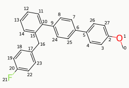 COc1ccc(-c2ccc(-c3ccccc3Cc3ccc(F)cc3)cc2)cc1